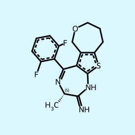 C[C@@H]1N=C(c2c(F)cccc2F)c2c(sc3c2COCCC3)NC1=N